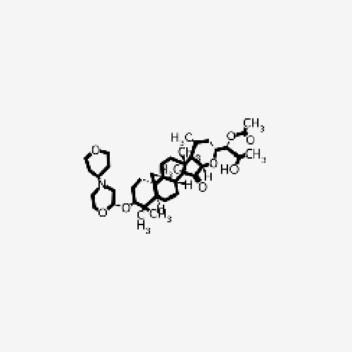 CC(=O)O[C@H](C(C)O)[C@H]1C[C@@H](C)C2[C@H](O1)C(=O)[C@@]1(C)[C@@H]3CC[C@H]4C(C)(C)[C@@H](O[C@H]5CN(C6CCOCC6)CCO5)CC[C@@]45C[C@@]35CC[C@]21C